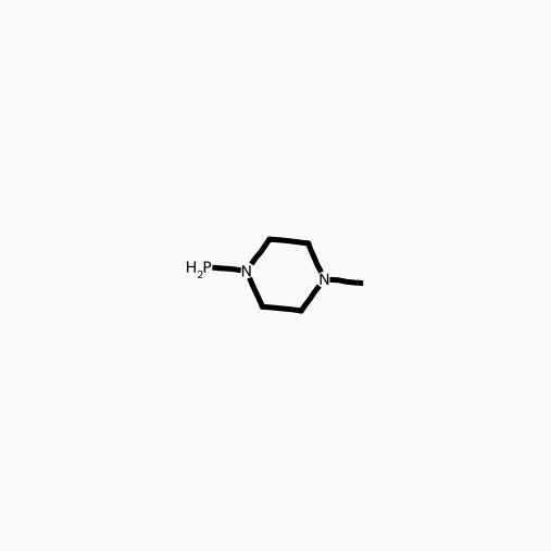 CN1CCN(P)CC1